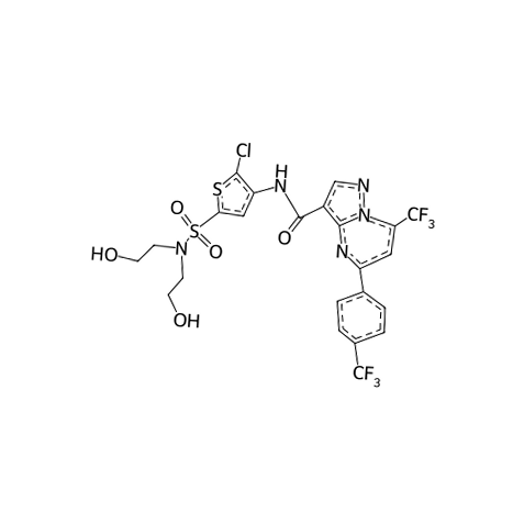 O=C(Nc1cc(S(=O)(=O)N(CCO)CCO)sc1Cl)c1cnn2c(C(F)(F)F)cc(-c3ccc(C(F)(F)F)cc3)nc12